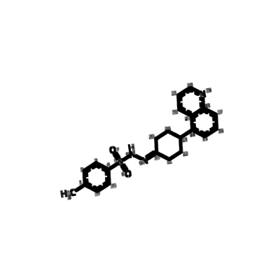 Cc1ccc(S(=O)(=O)NN=C2CCC(c3cccc4ncccc34)CC2)cc1